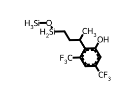 CC(CC[SiH2]O[SiH3])c1c(O)cc(C(F)(F)F)cc1C(F)(F)F